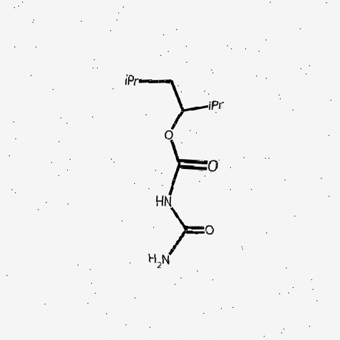 CC(C)CC(OC(=O)NC(N)=O)C(C)C